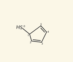 SC1C=CC=C1